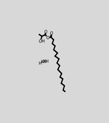 CCCCCCCCCCCCCCCCCC(=O)OC(=O)C(C)O.[H+].[KH].[KH]